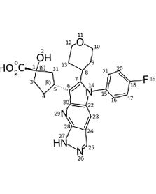 O=C(O)[C@]1(O)CC[C@@H](c2c(C3CCOCC3)n(-c3ccc(F)cc3)c3cc4cn[nH]c4nc23)C1